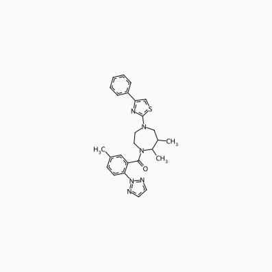 Cc1ccc(-n2nccn2)c(C(=O)N2CCN(c3nc(-c4ccccc4)cs3)CC(C)C2C)c1